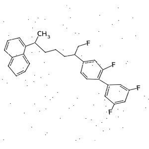 CC(CCCC(CF)c1ccc(-c2cc(F)cc(F)c2)c(F)c1)c1cccc2ccccc12